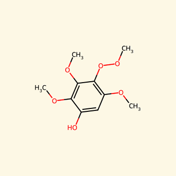 COOc1c(OC)cc(O)c(OC)c1OC